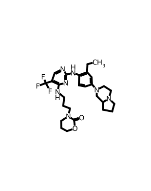 CCc1cc(N2CCN3CCCC3C2)ccc1Nc1ncc(C(F)(F)F)c(NCCCN2CCCOC2=O)n1